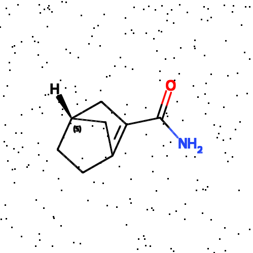 NC(=O)C1=C2CC[C@@H](C2)C1